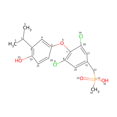 CC(C)c1cc(Oc2c(Cl)cc(CP(C)(=O)O)cc2Cl)ccc1O